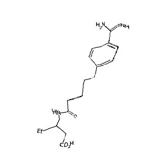 CCC(CC(=O)O)NC(=O)CCCCc1ccc(C(=N)N)cc1